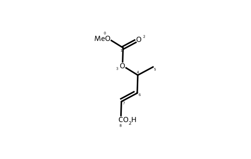 COC(=O)OC(C)/C=C/C(=O)O